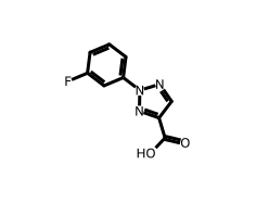 O=C(O)c1cnn(-c2cccc(F)c2)n1